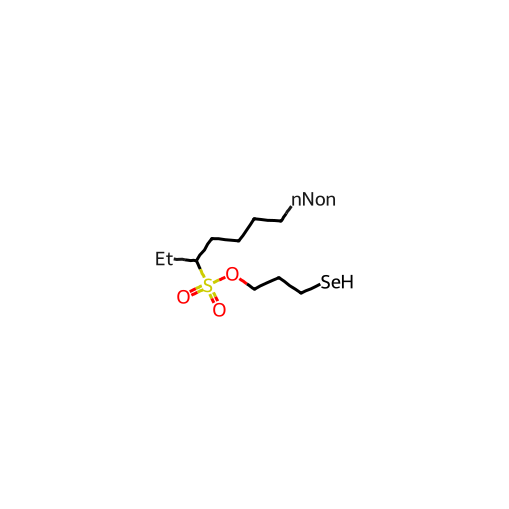 CCCCCCCCCCCCCC(CC)S(=O)(=O)OCCC[SeH]